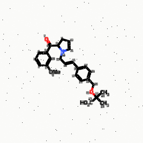 COc1cccc(C(=O)C2CC=CN2C/C=C/c2ccc(COC(C)(C)C(=O)O)cc2)c1